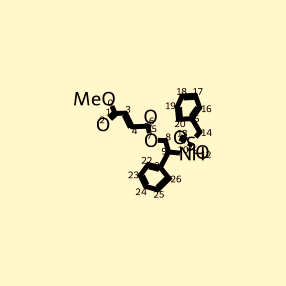 COC(=O)/C=C/C(=O)OCC(NS(=O)(=O)Cc1ccccc1)c1ccccc1